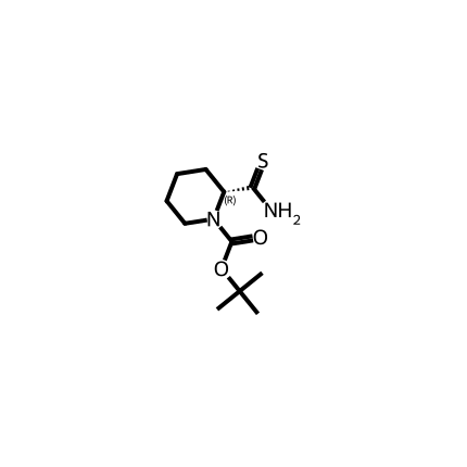 CC(C)(C)OC(=O)N1CCCC[C@@H]1C(N)=S